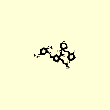 Cc1ccc(C)c(OCc2ccc(CCC(=O)O)c(C(=O)NC3(CCc4ccccc4F)CCOCC3)c2)c1